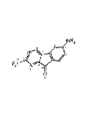 Nc1ccc2c(c1)-c1cnc(C(F)(F)F)nc1C2=O